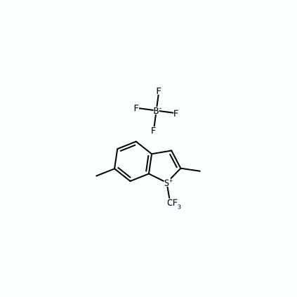 Cc1ccc2cc(C)[s+](C(F)(F)F)c2c1.F[B-](F)(F)F